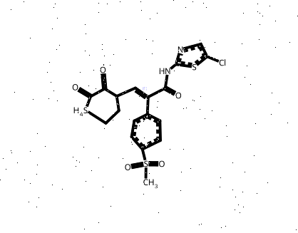 CS(=O)(=O)c1ccc(/C(=C\C2CC[SH4]C(=O)C2=O)C(=O)Nc2ncc(Cl)s2)cc1